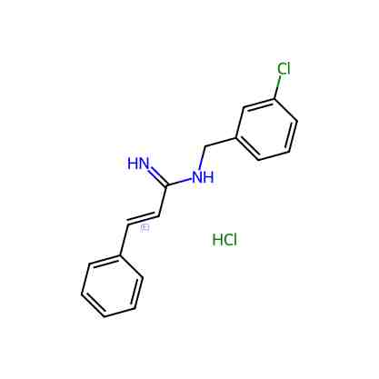 Cl.N=C(/C=C/c1ccccc1)NCc1cccc(Cl)c1